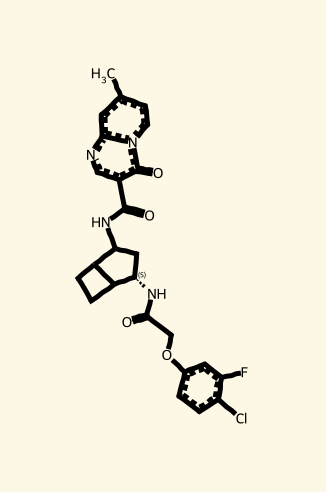 Cc1ccn2c(=O)c(C(=O)NC3C[C@H](NC(=O)COc4ccc(Cl)c(F)c4)C4CCC34)cnc2c1